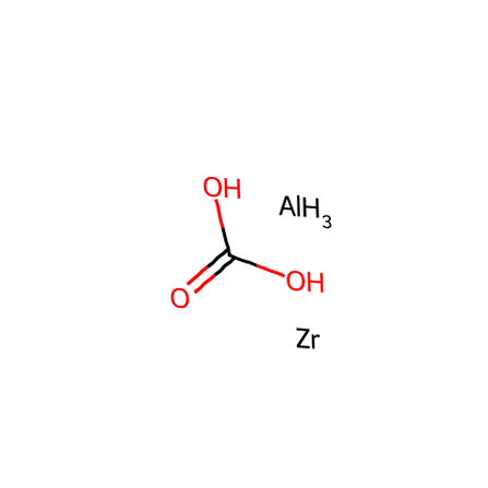 O=C(O)O.[AlH3].[Zr]